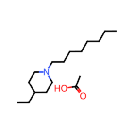 CC(=O)O.CCCCCCCCN1CCC(CC)CC1